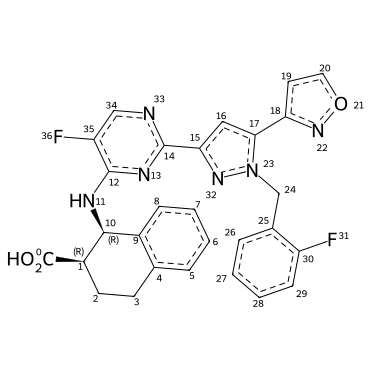 O=C(O)[C@@H]1CCc2ccccc2[C@@H]1Nc1nc(-c2cc(-c3ccon3)n(Cc3ccccc3F)n2)ncc1F